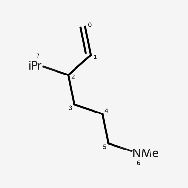 C=CC(CCCNC)C(C)C